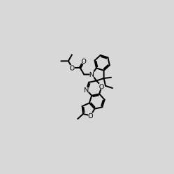 CCC1(C)c2ccccc2N(CC(=O)OC(C)C)C12C=Nc1c(ccc3oc(C)cc13)O2